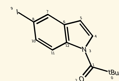 CC(C)(C)C(=O)n1ccc2cc(I)ccc21